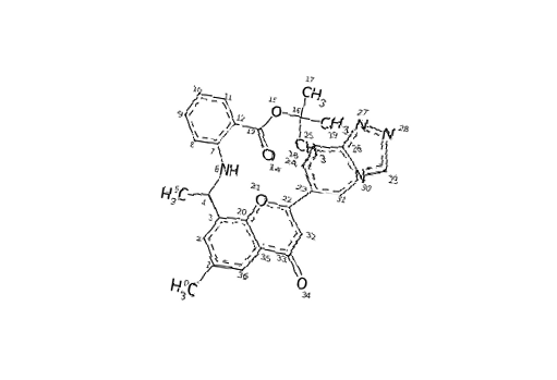 Cc1cc(C(C)Nc2ccccc2C(=O)OC(C)(C)C)c2oc(-c3ccc4nncn4c3)cc(=O)c2c1